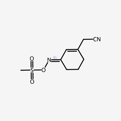 CS(=O)(=O)O/N=C1/C=C(CC#N)CCC1